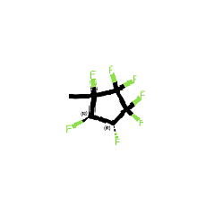 CC1(F)[C@H](F)[C@@H](F)C(F)(F)C1(F)F